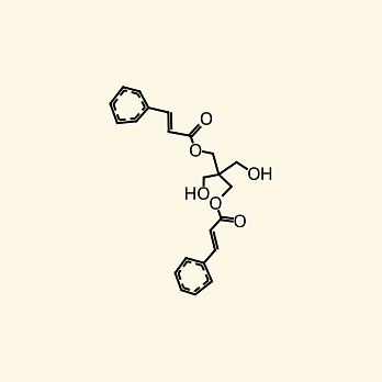 O=C(/C=C/c1ccccc1)OCC(CO)(CO)COC(=O)/C=C/c1ccccc1